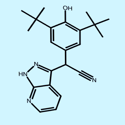 CC(C)(C)c1cc(C(C#N)c2n[nH]c3ncccc23)cc(C(C)(C)C)c1O